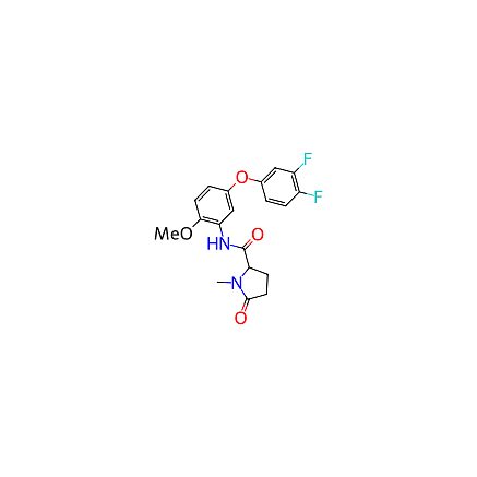 COc1ccc(Oc2ccc(F)c(F)c2)cc1NC(=O)C1CCC(=O)N1C